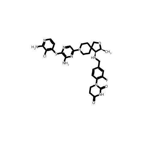 C[C@@H]1OCC2(CCN(c3cnc(Sc4ccnc(N)c4Cl)c(N)n3)CC2)[C@@H]1NCc1ccc(N2CCC(=O)NC2=O)c(F)c1